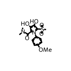 COc1ccc(-n2c(C(=O)N(C)C)c(O)c(O)c2S(C)(=O)=O)cc1